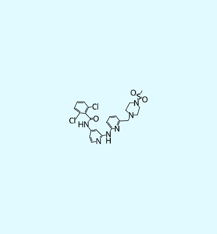 CS(=O)(=O)N1CCN(Cc2cccc(Nc3cc(NC(=O)c4c(Cl)cccc4Cl)ccn3)n2)CC1